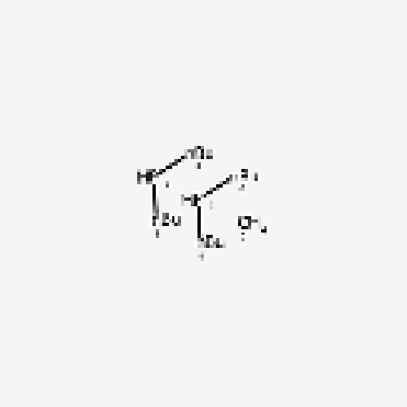 C.CCCCPCCCC.CCCCPCCCC